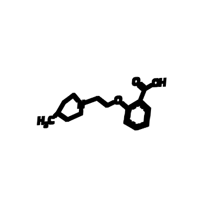 CC1CCN(CCOc2ccccc2C(=O)O)CC1